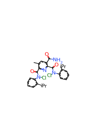 Cc1cc(C(N)=O)c(C(=O)N(Cl)c2ccccc2C(C)C)nc1C(=O)N(Cl)c1ccccc1C(C)C